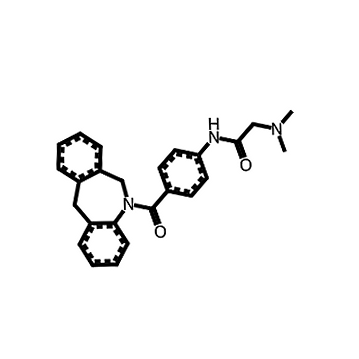 CN(C)CC(=O)Nc1ccc(C(=O)N2Cc3ccccc3Cc3ccccc32)cc1